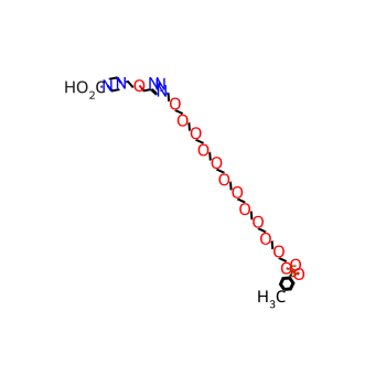 Cc1ccc(S(=O)(=O)OCCOCCOCCOCCOCCOCCOCCOCCOCCOCCOCCOCCn2cc(COCCN3CCN(C(=O)O)CC3)nn2)cc1